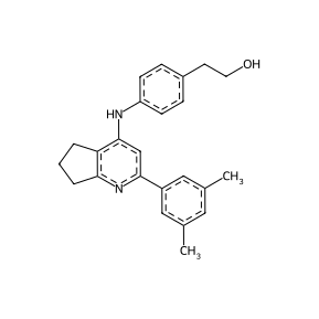 Cc1cc(C)cc(-c2cc(Nc3ccc(CCO)cc3)c3c(n2)CCC3)c1